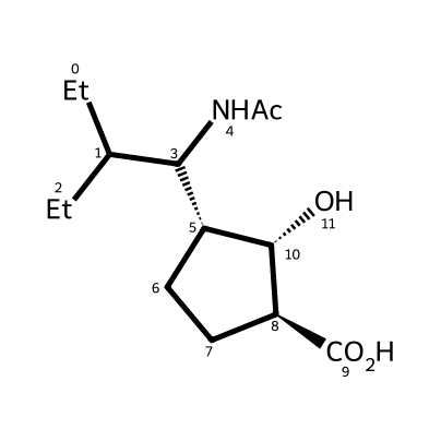 CCC(CC)C(NC(C)=O)[C@H]1CC[C@H](C(=O)O)[C@H]1O